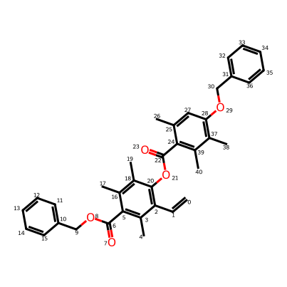 C=Cc1c(C)c(C(=O)OCc2ccccc2)c(C)c(C)c1OC(=O)c1c(C)cc(OCc2ccccc2)c(C)c1C